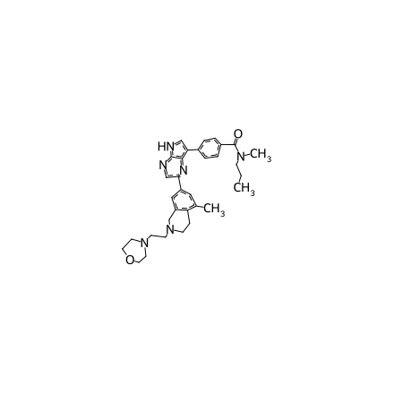 CCCN(C)C(=O)c1ccc(-c2c[nH]c3ncc(-c4cc(C)c5c(c4)CN(CCN4CCOCC4)CC5)nc23)cc1